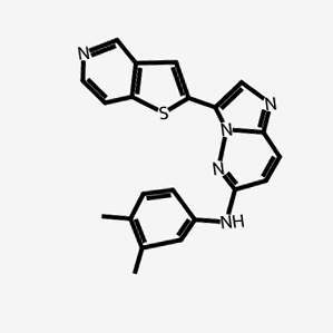 Cc1ccc(Nc2ccc3ncc(-c4cc5cnccc5s4)n3n2)cc1C